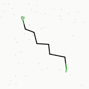 FCCCCCCBr